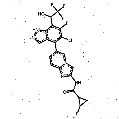 O=C(Nc1cn2cc(-c3c(Cl)c(F)c(C(O)C(F)(F)F)c4[nH]ncc34)ccc2n1)C1CC1F